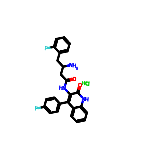 Cl.NC(CC(=O)Nc1c(-c2ccc(F)cc2)c2ccccc2[nH]c1=O)Cc1ccccc1F